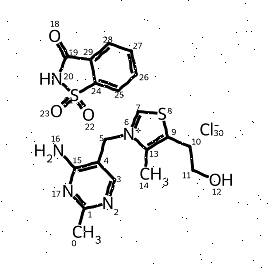 Cc1ncc(C[n+]2csc(CCO)c2C)c(N)n1.O=C1NS(=O)(=O)c2ccccc21.[Cl-]